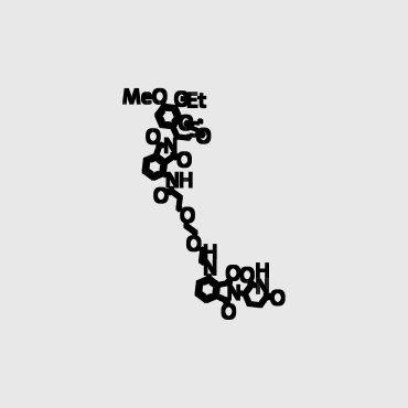 CCOc1cc(C(CS(C)(=O)=O)N2C(=O)c3cccc(NC(=O)CCOCCOCCNc4cccc5c4C(=O)N(C4CCC(=O)NC4=O)C5=O)c3C2=O)ccc1OC